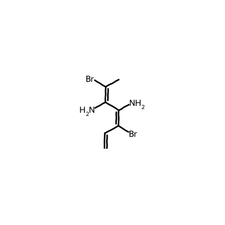 C=C/C(Br)=C(N)\C(N)=C(/C)Br